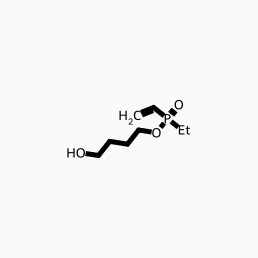 C=CP(=O)(CC)OCCCCO